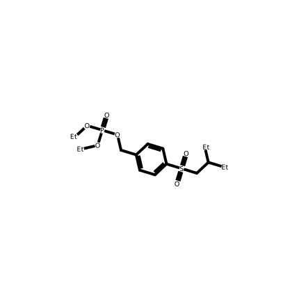 CCOP(=O)(OCC)OCc1ccc(S(=O)(=O)CC(CC)CC)cc1